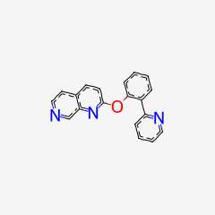 c1ccc(-c2ccccc2Oc2ccc3ccncc3n2)nc1